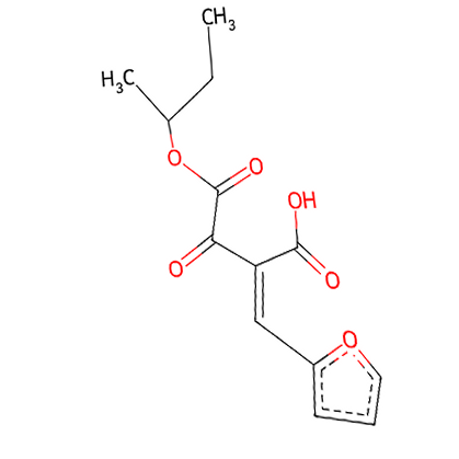 CCC(C)OC(=O)C(=O)C(=Cc1ccco1)C(=O)O